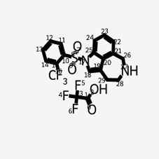 O=C(O)C(F)(F)F.O=S(=O)(c1ccccc1C(F)(F)F)n1cc2c3c(cccc31)CNCC2